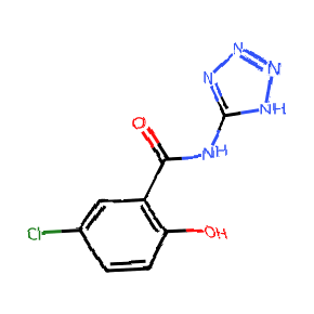 O=C(Nc1nnn[nH]1)c1cc(Cl)ccc1O